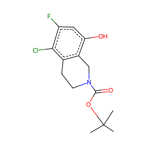 CC(C)(C)OC(=O)N1CCc2c(Cl)c(F)cc(O)c2C1